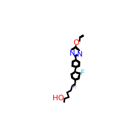 C=CCOc1cnc(-c2ccc(-c3ccc(/C=C/CCCC(C)O)cc3F)cc2)nc1